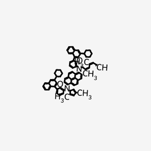 C#C/C=C(C)\C=C(\C)CN(c1ccc2ccc3c(N(c4cccc5c4oc4c(C6CCCCC6)cc6ccccc6c45)C4C=C(C)C=C4C)ccc4ccc1c2c43)c1cccc2c1oc1c(C3CCCCC3)cc3ccccc3c12